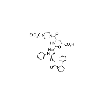 CCOC(=O)N1CCN(C(=O)C(CCC(=O)O)NC(=O)c2cc(OCC(=O)N3CCC[C@H]3c3ccco3)n(-c3ccccc3)n2)CC1